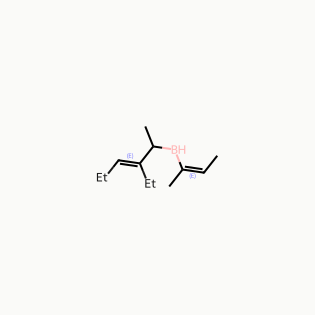 C/C=C(/C)BC(C)/C(=C/CC)CC